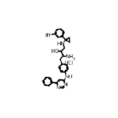 CC(C)c1cccc(C2(NCC(O)C(N)Cc3ccc(Nc4cc(-c5ccccc5)ncn4)cc3)CC2)c1.Cl